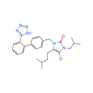 CC(C)CCc1c(Cl)n(CC(C)C)c(=O)n1Cc1ccc(-c2ccccc2-c2nnn[nH]2)cc1